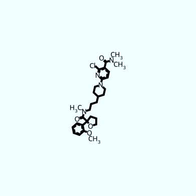 COc1ccccc1C1(C(=O)N(C)CCCC2CCN(c3ccc(C(=O)N(C)C)c(Cl)n3)CC2)CCCO1